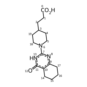 O=C(O)CCC1CCN(c2nc3c(c(=O)[nH]2)CCCC3)CC1